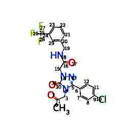 CC(=O)Cn1c(-c2ccc(Cl)cc2)nn(CC(=O)NCc2cccc(C(F)(F)F)c2)c1=O